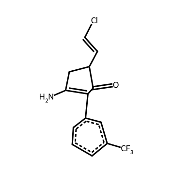 NC1=C(c2cccc(C(F)(F)F)c2)C(=O)C(C=CCl)C1